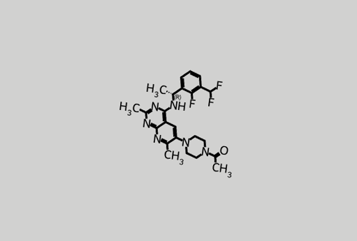 CC(=O)N1CCN(c2cc3c(N[C@H](C)c4cccc(C(F)F)c4F)nc(C)nc3nc2C)CC1